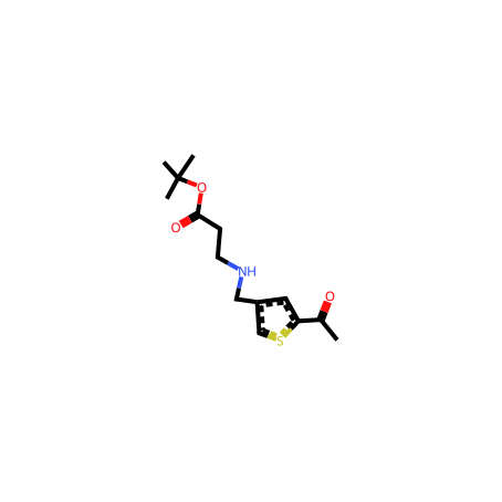 CC(=O)c1cc(CNCCC(=O)OC(C)(C)C)cs1